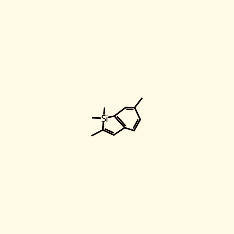 CC1=Cc2ccc(C)cc2[Si]1(C)C